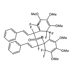 COC1=C(OC)C(F)(F)C(F)(C(F)(C=Cc2ccccc2)S(=O)(=O)C(F)(C=Cc2ccccc2)C2(F)C(F)=C(OC)C(OC)=C(OC)C2(F)F)C(F)=C1OC